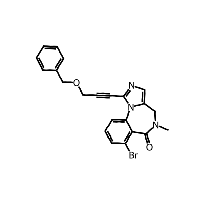 CN1Cc2cnc(C#CCOCc3ccccc3)n2-c2cccc(Br)c2C1=O